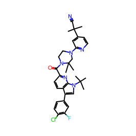 CC(C)(C#N)c1ccnc(N2CCN(C(=O)c3ccc4c(-c5ccc(Cl)c(F)c5)cn(C(C)(C)C)c4n3)C(C)(C)C2)c1